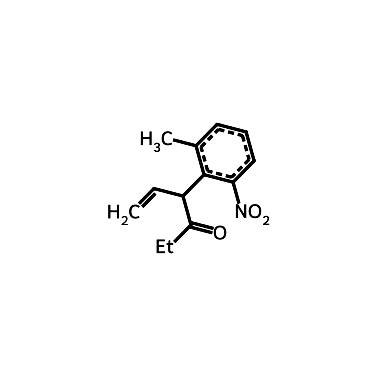 C=CC(C(=O)CC)c1c(C)cccc1[N+](=O)[O-]